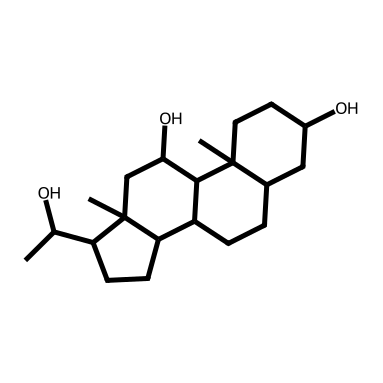 CC(O)C1CCC2C3CCC4CC(O)CCC4(C)C3C(O)CC12C